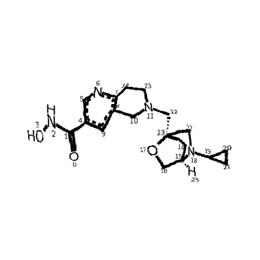 O=C(NO)c1cnc2c(c1)CN(C[C@]13C[C@H](CO1)N(C1CC1)C3)CC2